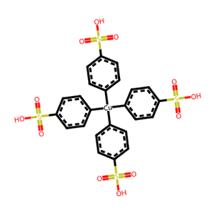 O=S(=O)(O)c1cc[c]([Cu]([c]2ccc(S(=O)(=O)O)cc2)([c]2ccc(S(=O)(=O)O)cc2)[c]2ccc(S(=O)(=O)O)cc2)cc1